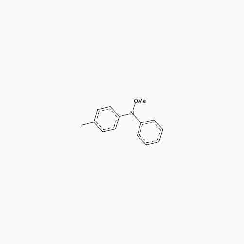 CON(c1ccccc1)c1ccc(C)cc1